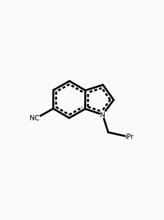 CC(C)Cn1ccc2ccc(C#N)cc21